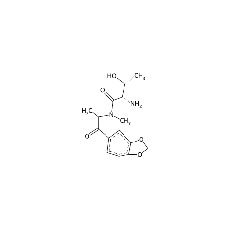 CC(C(=O)c1ccc2c(c1)OCO2)N(C)C(=O)[C@@H](N)[C@@H](C)O